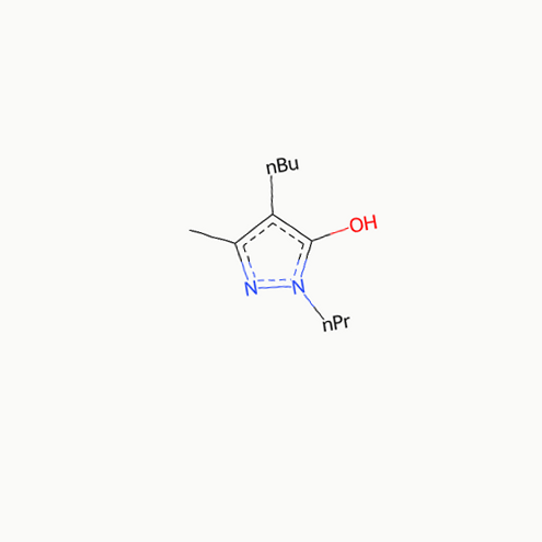 CCCCc1c(C)nn(CCC)c1O